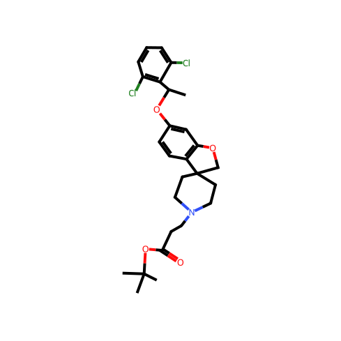 CC(Oc1ccc2c(c1)OCC21CCN(CCC(=O)OC(C)(C)C)CC1)c1c(Cl)cccc1Cl